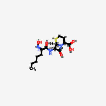 CCCCC/C(=N/O)C(=O)N[C@@H]1C(=O)N2C(C(=O)O)=CCS[C@H]12